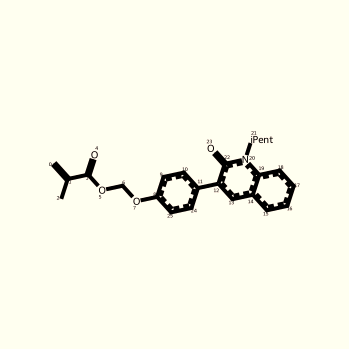 C=C(C)C(=O)OCOc1ccc(-c2cc3ccccc3n(C(C)CCC)c2=O)cc1